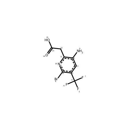 Nc1cc(C(F)(F)F)c(Br)nc1CC(=O)O